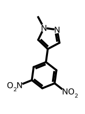 Cn1cc(-c2cc([N+](=O)[O-])cc([N+](=O)[O-])c2)cn1